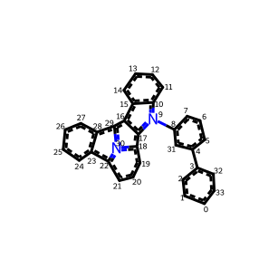 c1ccc(-c2cccc(-n3c4ccccc4c4c3c3cccc5c6ccccc6c4n53)c2)cc1